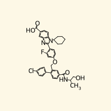 CC(CO)NC(=O)c1ccc(-c2ccc(Cl)cc2)c(COc2ccc(-c3nc4cc(C(=O)O)ccc4n3C3CCCCC3)c(F)c2)c1